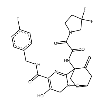 O=C(NC12CCC(CC1=O)CN1CC(O)=C(C(=O)NCc3ccc(F)cc3)N=C12)C(=O)N1CCC(F)(F)C1